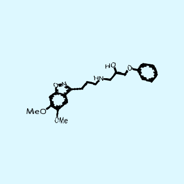 COc1cc2onc(CCCNCC(O)COc3ccccc3)c2cc1OC